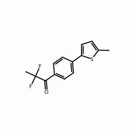 Cc1ccc(-c2ccc(C(=O)C(C)(F)F)cc2)s1